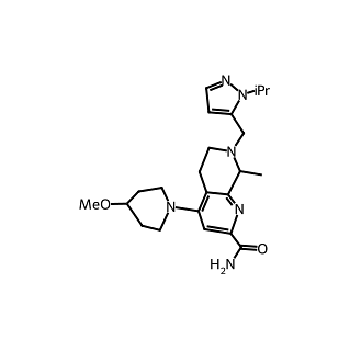 COC1CCN(c2cc(C(N)=O)nc3c2CCN(Cc2ccnn2C(C)C)C3C)CC1